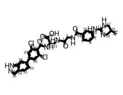 O=C(CNC(=O)c1cccc(NC2=NCC(F)CN2)c1)NC[C@@H](NC(=O)c1c(Cl)cc(-c2ccc3cn[nH]c3c2)cc1Cl)C(=O)O